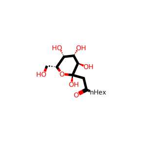 CCCCCCC(=O)C[C@]1(O)O[C@H](CO)[C@H](O)[C@H](O)[C@H]1O